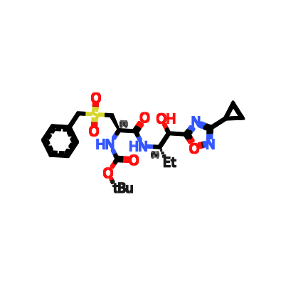 CC[C@H](NC(=O)[C@H](CS(=O)(=O)Cc1ccccc1)NC(=O)OC(C)(C)C)C(O)c1nc(C2CC2)no1